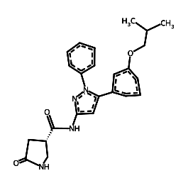 CC(C)COc1cccc(-c2cc(NC(=O)[C@@H]3CNC(=O)C3)nn2-c2ccccc2)c1